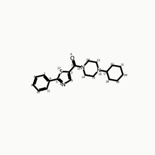 O=C(c1cnc(-c2ccccc2)s1)N1CCN(C2CCCCC2)CC1